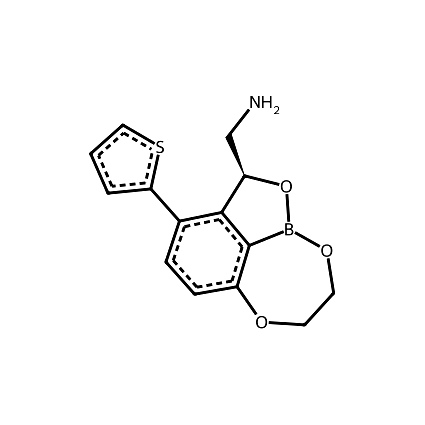 NC[C@H]1OB2OCCOc3ccc(-c4cccs4)c1c32